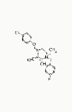 C[C@@H]1C(=C=O)N(COc2ccc(Cl)cc2)C[C@H](C)N1Cc1ccc(F)cc1